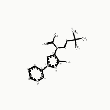 CC(C)(C)CCN(C(=O)O)c1cn(-c2cccnc2)nc1Cl